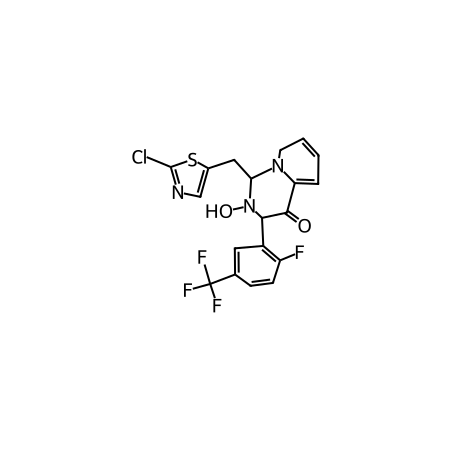 O=C1C2=CC=CCN2C(Cc2cnc(Cl)s2)N(O)C1c1cc(C(F)(F)F)ccc1F